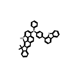 CC1(C)c2ccccc2-c2cc3ccc4c(N(c5ccccc5)c5ccc(-c6cccc7c6sc6ccccc67)cc5)ccc5[nH]c(c21)c3c54